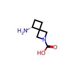 N[C@@H]1CCC12CN(C(=O)O)C2